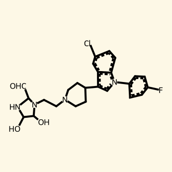 O=CC1NC(O)C(O)N1CCN1CCC(c2cn(-c3ccc(F)cc3)c3ccc(Cl)cc23)CC1